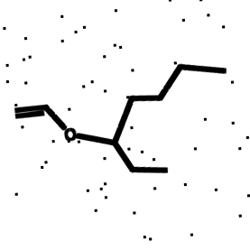 C=COC(CC)CCCC